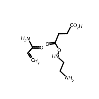 C=CC(N)=O.NCCNOC(=O)CCC(=O)O